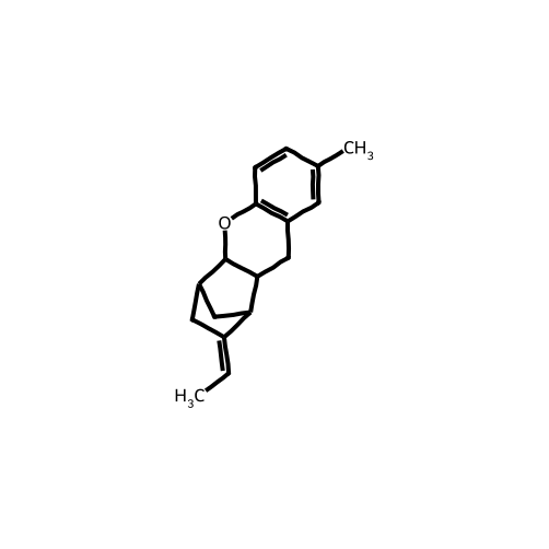 CC=C1CC2CC1C1Cc3cc(C)ccc3OC21